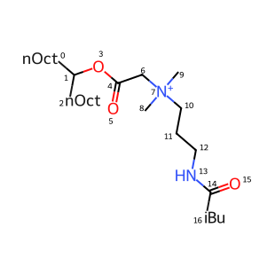 CCCCCCCCC(CCCCCCCC)OC(=O)C[N+](C)(C)CCCNC(=O)C(C)CC